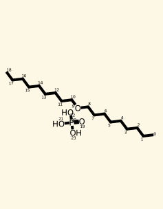 CCCCCCCCCOCCCCCCCCC.O=P(O)(O)O